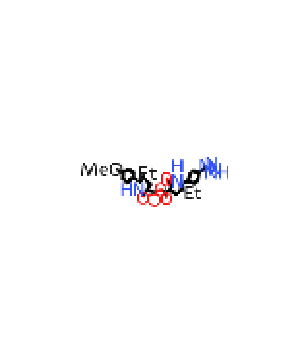 CCc1cc(C(=O)OC(=O)c2cc(CC)c(-c3ccc(-c4nnn[nH]4)cc3)[nH]c2=O)c(=O)[nH]c1-c1ccc(OC)cc1